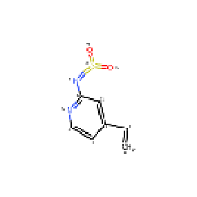 C=Cc1ccnc(N=S(=O)=O)c1